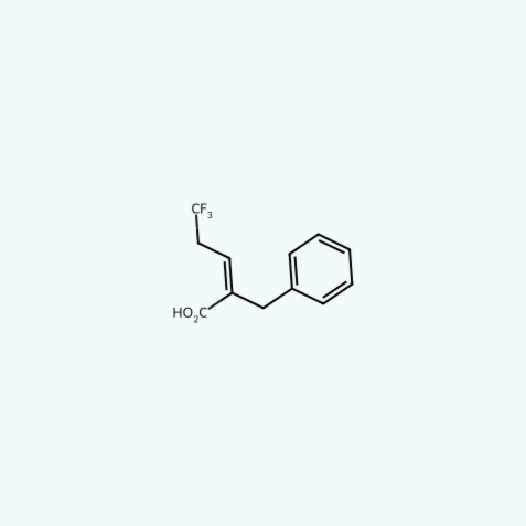 O=C(O)C(=CCC(F)(F)F)Cc1ccccc1